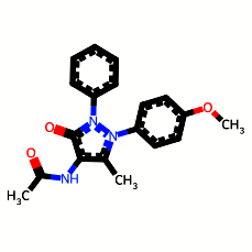 COc1ccc(-n2c(C)c(NC(C)=O)c(=O)n2-c2ccccc2)cc1